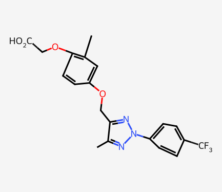 Cc1cc(OCc2nn(-c3ccc(C(F)(F)F)cc3)nc2C)ccc1OCC(=O)O